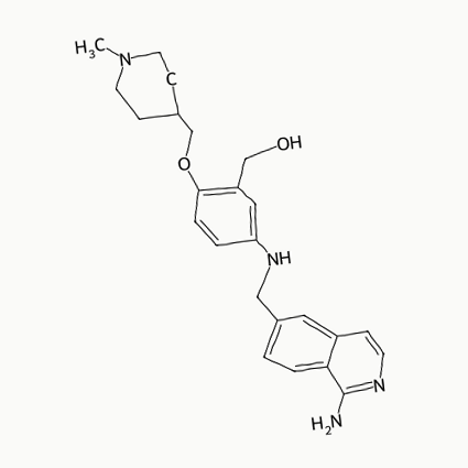 CN1CCC(COc2ccc(NCc3ccc4c(N)nccc4c3)cc2CO)CC1